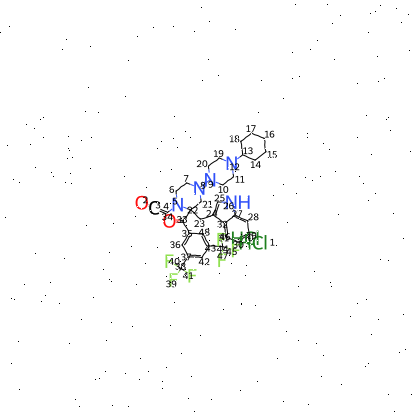 Cl.Cl.O=C=CN1CCN(N2CCN(C3CCCCC3)CC2)CC1(Cc1c[nH]c2ccccc12)C(=O)c1cc(C(F)(F)F)cc(C(F)(F)F)c1